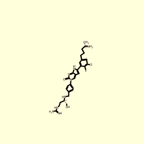 C[C@H](N)CCCc1cc(Cl)c(F)c(-c2cc3cn(-c4ccc(CN[C@H](CO)CCNC(=N)N)cc4)c(=O)nc3[nH]2)c1